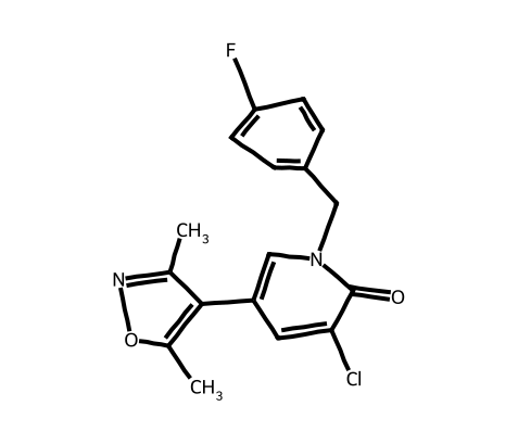 Cc1noc(C)c1-c1cc(Cl)c(=O)n(Cc2ccc(F)cc2)c1